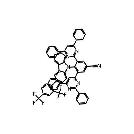 N#Cc1cc(-c2cc(-c3ccccc3)nc(-c3ccccc3)n2)c(-n2c3ccccc3c3cc(-c4ccc(C(F)(F)F)cc4C(F)(F)F)ccc32)c(-c2nc(-c3ccccc3)cc(-c3ccccc3)n2)c1